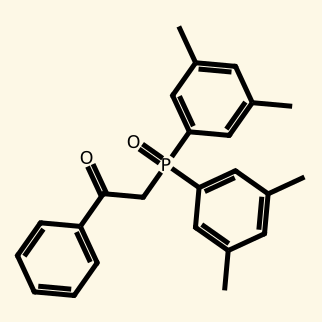 Cc1cc(C)cc(P(=O)(CC(=O)c2ccccc2)c2cc(C)cc(C)c2)c1